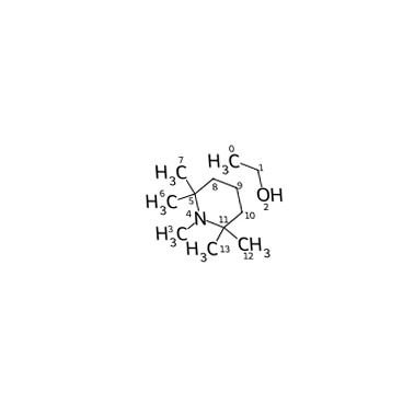 CCO.CN1C(C)(C)CCCC1(C)C